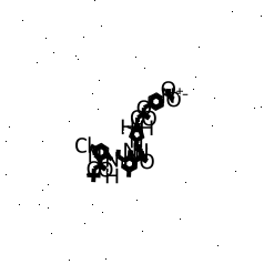 Cc1cc(C(C)Nc2ccc(Cl)nc2C(=O)OC(C)(C)C)c2nc(N3C[C@@H]4C(OC(=O)Oc5ccc([N+](=O)[O-])cc5)[C@@H]4C3)n(C)c(=O)c2c1